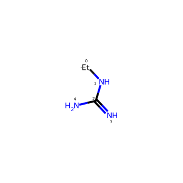 C[CH]NC(=N)N